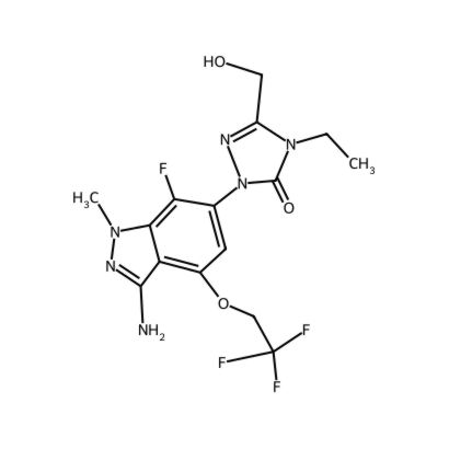 CCn1c(CO)nn(-c2cc(OCC(F)(F)F)c3c(N)nn(C)c3c2F)c1=O